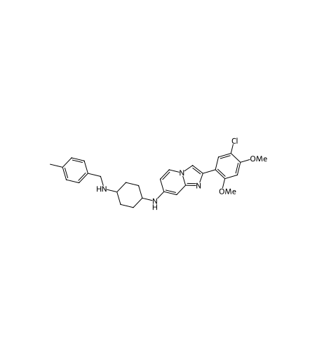 COc1cc(OC)c(-c2cn3ccc(NC4CCC(NCc5ccc(C)cc5)CC4)cc3n2)cc1Cl